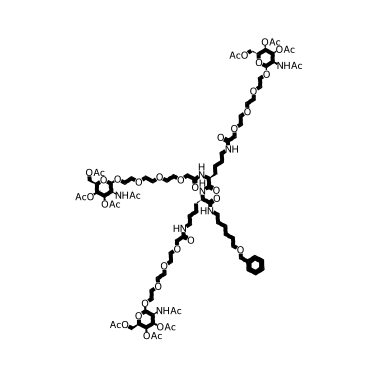 CC(=O)N[C@H]1[C@H](OCCOCCOCCOCC(=O)NCCCC[C@H](NC(=O)COCCOCCOCCO[C@@H]2O[C@H](COC(C)=O)[C@H](OC(C)=O)[C@H](OC(C)=O)[C@H]2NC(C)=O)C(=O)N[C@@H](CCCCNC(=O)COCCOCCOCCO[C@@H]2O[C@H](COC(C)=O)[C@H](OC(C)=O)[C@H](OC(C)=O)[C@H]2NC(C)=O)C(=O)NCCCCCCOCc2ccccc2)O[C@H](COC(C)=O)[C@H](OC(C)=O)[C@@H]1OC(C)=O